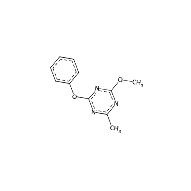 COc1nc(C)nc(Oc2ccccc2)n1